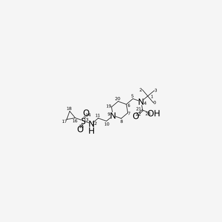 CC(C)(C)N(CC1CCN(CCNS(=O)(=O)C2CC2)CC1)C(=O)O